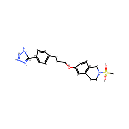 CS(=O)(=O)N1CCc2cc(OCCCc3ccc(-c4nnn[nH]4)cc3)ccc2C1